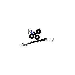 CCCCCCCCCCCCCC=CC=CC=CC=CC(=O)O.CCN(CC)CC(c1ccccc1)(c1ccccc1)c1ccccc1